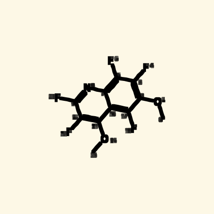 COc1c(F)c(F)c2nc(F)c(F)c(OC)c2c1F